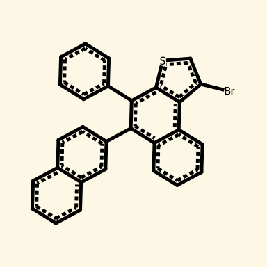 Brc1csc2c(-c3ccccc3)c(-c3ccc4ccccc4c3)c3ccccc3c12